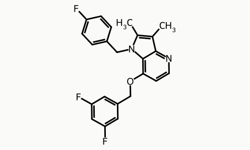 Cc1c(C)n(Cc2ccc(F)cc2)c2c(OCc3cc(F)cc(F)c3)ccnc12